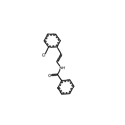 O=C(NC=Cc1ccccc1Cl)c1ccccc1